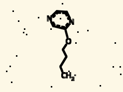 [CH2]CCCOc1cnccn1